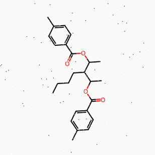 CCCCC(C(C)OC(=O)c1ccc(C)cc1)C(C)OC(=O)c1ccc(C)cc1